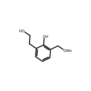 COCc1cccc(CCO)c1O